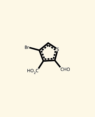 O=Cc1scc(Br)c1C(=O)O